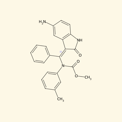 COC(=O)N(/C(=C1\C(=O)Nc2ccc(N)cc21)c1ccccc1)c1cccc(C)c1